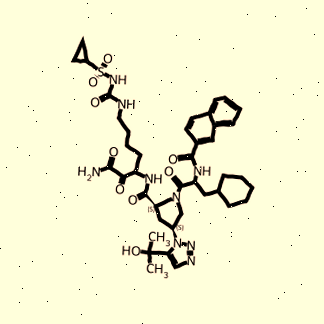 CC(C)(O)c1cnnn1[C@H]1C[C@@H](C(=O)NC(CCCCNC(=O)NS(=O)(=O)C2CC2)C(=O)C(N)=O)N(C(=O)C(CC2CCCCC2)NC(=O)c2ccc3ccccc3c2)C1